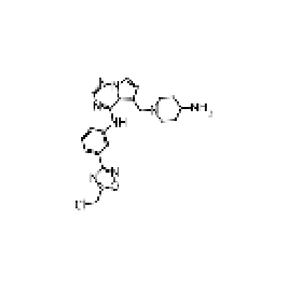 NC1CCN(Cc2ccn3ncnc(Nc4cccc(-c5noc(CCl)n5)c4)c23)CC1